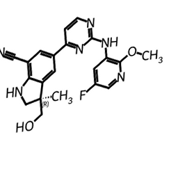 COc1ncc(F)cc1Nc1nccc(-c2cc(C#N)c3c(c2)[C@@](C)(CO)CN3)n1